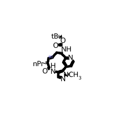 CCC[C@@H]1/C=C/C[C@H](NC(=O)OC(C)(C)C)c2cc(ccn2)-c2c(cnn2C)NC1=O